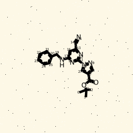 CC(C)(C)OC(=O)c1cnn(-c2nc(C#N)cc(NCc3ccccc3)n2)c1